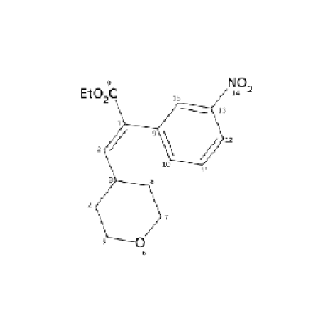 CCOC(=O)C(=CC1CCOCC1)c1cccc([N+](=O)[O-])c1